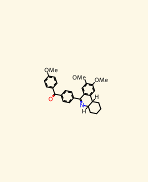 COc1ccc(C(=O)c2ccc(C3=N[C@H]4CCCC[C@H]4c4cc(OC)c(OC)cc43)cc2)cc1